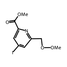 COOCc1cc(I)cc(C(=O)OC)n1